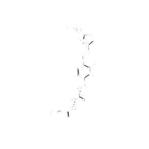 CC(=O)Nc1nc(CCc2ccc(CNC(=O)NNC(=O)OC(C)(C)C)cc2F)cs1